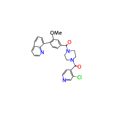 COc1cc(C(=O)N2CCN(C(=O)c3ccncc3Cl)CC2)ccc1-c1cccc2cccnc12